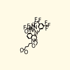 CC[C@@H]1C[C@H](N(Cc2cc(C(F)(F)F)cc(C(F)(F)F)c2)c2nnn(C)n2)c2cc(OC(F)(F)F)ccc2N1C(=O)CCCC(=O)OC